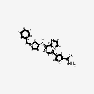 NC(=O)c1cc(-c2cnc(N[C@H]3CCN(Cc4ccccc4)C3)c3nccn23)co1